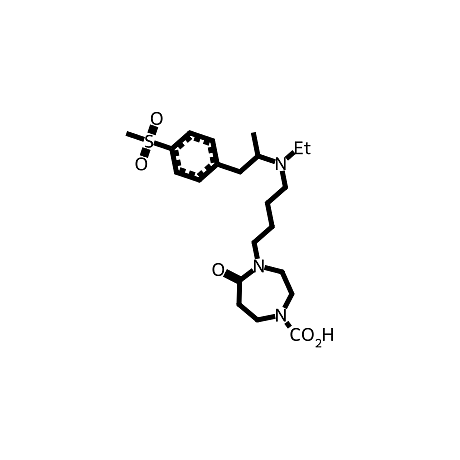 CCN(CCCCN1CCN(C(=O)O)CCC1=O)C(C)Cc1ccc(S(C)(=O)=O)cc1